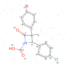 CC1(c2ccc(Br)cc2)C(=O)N(C(=O)O)C1c1ccc(Cl)cc1